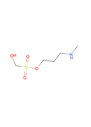 CNCCCOS(=O)(=O)CO